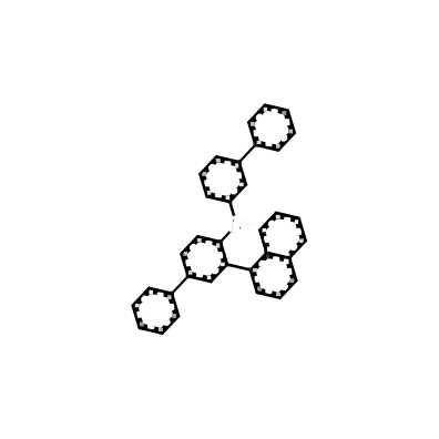 c1ccc(-c2cccc(Nc3ccc(-c4ccccc4)cc3-c3cccc4ccccc34)c2)cc1